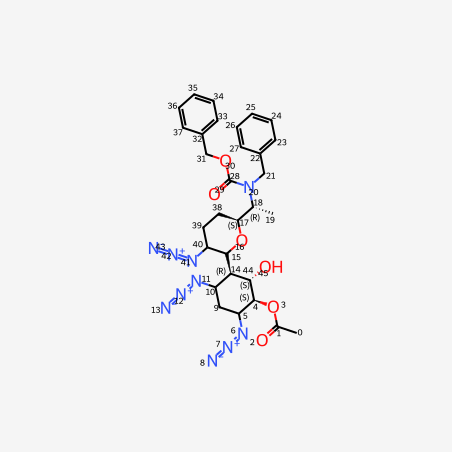 CC(=O)O[C@H]1C(N=[N+]=[N-])CC(N=[N+]=[N-])[C@@H](C2O[C@H]([C@@H](C)N(Cc3ccccc3)C(=O)OCc3ccccc3)CCC2N=[N+]=[N-])[C@@H]1O